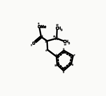 COC(=O)C(Cc1ccccc1)N(C)C